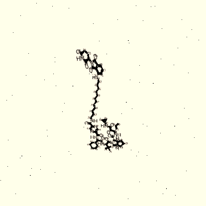 CCC[C@H](NC(=O)[C@@H]1[C@H]2CCC[C@H]2CN1C(=O)[C@@H](NC(=O)C(NC(=O)c1cnc(C(=O)NCCCCCCCCCCCCNc2cccc3c2C(=O)N(C2CCC(=O)NC2=O)C3=O)cn1)C1CCCCC1)C(C)(C)C)C(=O)C(=O)NC1CC1